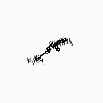 CC(C)(C)OC(=O)NCCCCCCOc1ccc(/C=C2\N=C3C(Cc4ccccc4)=NC(c4ccc(O[Si](C)(C)C(C)(C)C)cc4)=CN3C2=O)cc1F